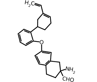 C=CC1=CCCC(c2ccccc2Oc2ccc3c(c2)CC(N)(C=O)CC3)C1